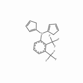 FC(F)(F)c1ccc[c]([Ti]([C]2=CC=CC2)[C]2=CC=CC2)c1C(F)(F)F